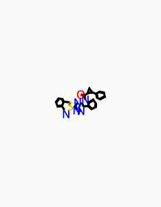 N#Cc1ccccc1CSc1nnc2c3ccccc3n(C(=O)C3CC3c3ccccc3)c2n1